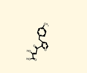 Cc1ccc(Cc2ccoc2C(=O)C=C(O)C(=O)O)cc1